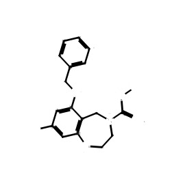 Cc1cc2c(c(OCc3ccccc3)c1)CN(C(=O)OC(C)(C)C)CCO2